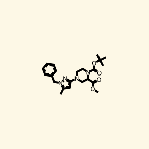 COC(=O)C1CN(c2cc(C)n(Cc3ccccc3)n2)CCN1C(=O)OC(C)(C)C